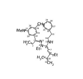 C=C/C(=N\N(CC)C(=C=C(CC)C(=C)C)NCCc1ccccc1)c1cc(C)cc(NC)c1